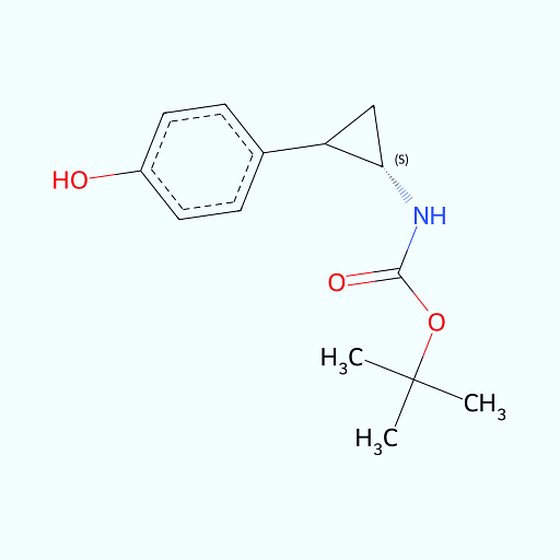 CC(C)(C)OC(=O)N[C@H]1CC1c1ccc(O)cc1